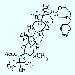 CC(=O)O[C@@H](C1C[C@@H](C)[C@H]2C(O1)C(=O)[C@@]1(C)C3CC[C@H]4C(C)(C)[C@@H](O[C@H]5CN(Cc6ccccc6)CCO5)CC[C@@]45C[C@@]35CC[C@]21C)C(C)(C)O